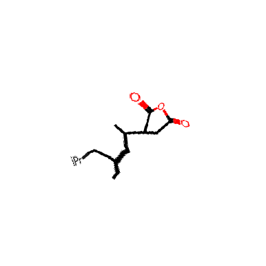 CC(C)CC(C)CC(C)C1CC(=O)OC1=O